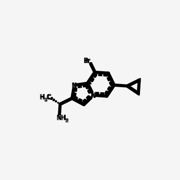 C[C@@H](N)c1cn2cc(C3CC3)cc(Br)c2n1